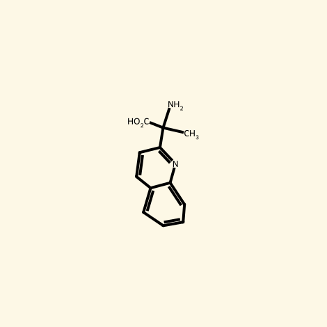 CC(N)(C(=O)O)c1ccc2ccccc2n1